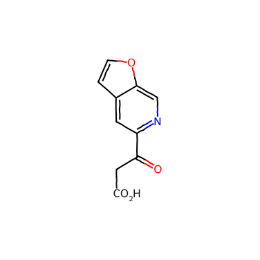 O=C(O)CC(=O)c1cc2ccoc2cn1